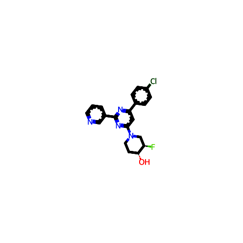 O[C@@H]1CCN(c2cc(-c3ccc(Cl)cc3)nc(-c3cccnc3)n2)C[C@H]1F